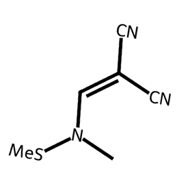 CSN(C)C=C(C#N)C#N